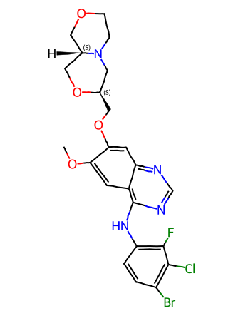 COc1cc2c(Nc3ccc(Br)c(Cl)c3F)ncnc2cc1OC[C@@H]1CN2CCOC[C@H]2CO1